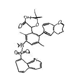 Cc1cc(NS(=O)(=O)c2cccc3cccnc23)c(C)c(C(OC(C)(C)C)C(=O)O)c1-c1ccc2c(c1)CCCO2